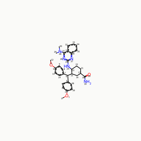 COc1ccc(C(c2ccc(OC)cc2)C2CC(C(N)=O)CCC2Nc2nc(N(C)C)c3ccccc3n2)cc1